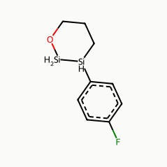 Fc1ccc([SiH]2CCCO[SiH2]2)cc1